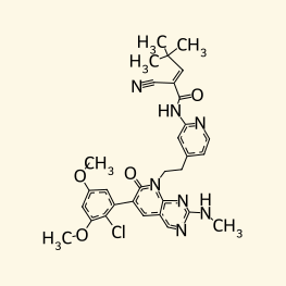 CNc1ncc2cc(-c3cc(OC)cc(OC)c3Cl)c(=O)n(CCc3ccnc(NC(=O)/C(C#N)=C/C(C)(C)C)c3)c2n1